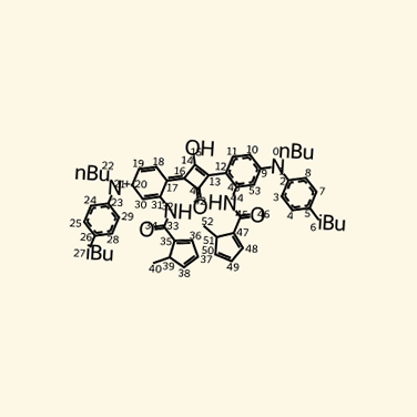 CCCCN(c1ccc(C(C)CC)cc1)c1ccc(C2=C(O)/C(=C3C=C/C(=[N+](\CCCC)c4ccc(C(C)CC)cc4)C=C\3NC(=O)C3=CC=CC3C)C2=O)c(NC(=O)C2=CC=CC2C)c1